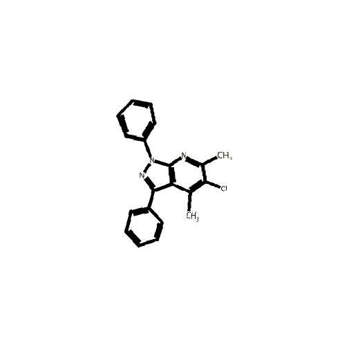 Cc1nc2c(c(-c3ccccc3)nn2-c2ccccc2)c(C)c1Cl